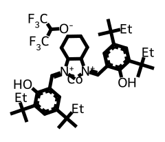 CCC(C)(C)c1cc(C=[N+]2[Co][N+](=Cc3cc(C(C)(C)CC)cc(C(C)(C)CC)c3O)C3CCCCC32)c(O)c(C(C)(C)CC)c1.[O-]C(C(F)(F)F)C(F)(F)F